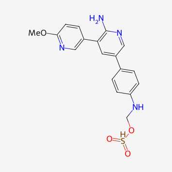 COc1ccc(-c2cc(-c3ccc(NCO[SH](=O)=O)cc3)cnc2N)cn1